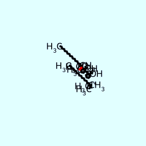 CCCCCCCCCCCCCCCC[N+](C)(C)CC.CCCCCCCCCCCCCCCC[N+](C)(C)CC.O=C(O)c1ccccc1Sc1ccccc1C(=O)O